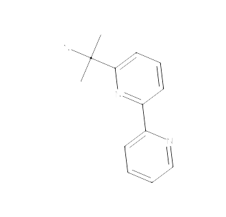 CC(C)(N)c1cccc(-c2ccccn2)n1